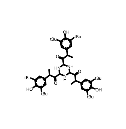 CC(C(=O)C1NC(C(=O)C(C)c2cc(C(C)(C)C)c(O)c(C(C)(C)C)c2)NC(C(=O)C(C)c2cc(C(C)(C)C)c(O)c(C(C)(C)C)c2)N1)c1cc(C(C)(C)C)c(O)c(C(C)(C)C)c1